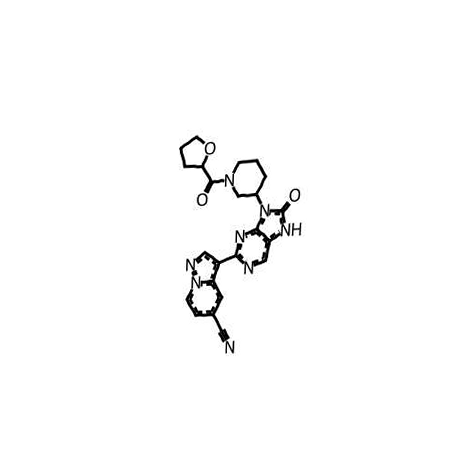 N#Cc1ccn2ncc(-c3ncc4[nH]c(=O)n(C5CCCN(C(=O)C6CCCO6)C5)c4n3)c2c1